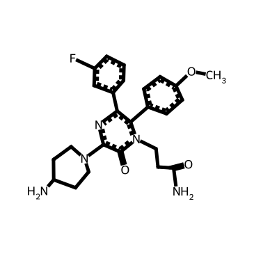 COc1ccc(-c2c(-c3cccc(F)c3)nc(N3CCC(N)CC3)c(=O)n2CCC(N)=O)cc1